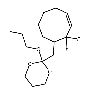 CCCOC1(CC2CCCC/C=C\C2(F)F)OCCCO1